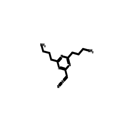 [N-]=[N+]=Cc1nc(CCCN)nc(CCCN)n1